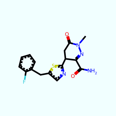 CN1N=C(C(N)=O)C(c2ncc(Cc3ccccc3F)s2)CC1=O